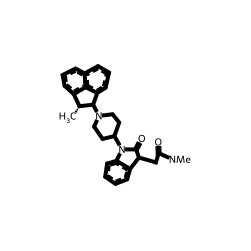 CNC(=O)CC1C(=O)N(C2CCN(C3c4cccc5cccc(c45)[C@H]3C)CC2)c2ccccc21